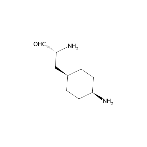 N[C@@H](C=O)C[C@H]1CC[C@@H](N)CC1